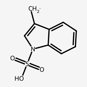 [CH2]c1cn(S(=O)(=O)O)c2ccccc12